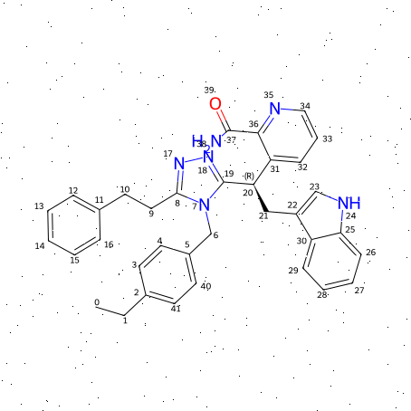 CCc1ccc(Cn2c(CCc3ccccc3)nnc2[C@H](Cc2c[nH]c3ccccc23)c2cccnc2C(N)=O)cc1